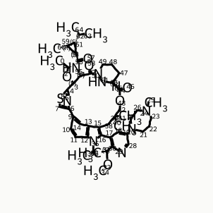 CCO[C@@H]1c2nc(cs2)-c2ccc3c(c2)c(c(-c2cc(N4CCCN(C)CC4)cnc2[C@H](C)OC)n3CC)CC(C)(C)COC(=O)[C@@H]2CCCN(N2)C(=O)[C@H]1NC(=O)[C@H]1[C@H](C)[C@@H]1C(C)C